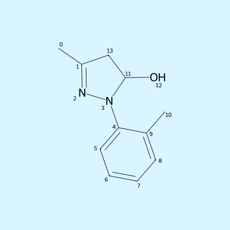 CC1=NN(c2ccccc2C)C(O)C1